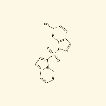 O=S(=O)(c1cnc2ccccn12)n1ncc2ncc(Br)cc21